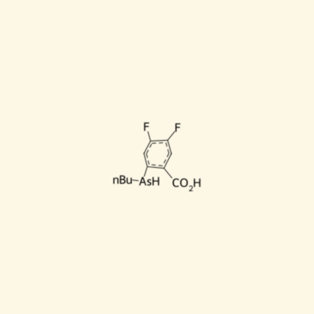 CCCC[AsH]c1cc(F)c(F)cc1C(=O)O